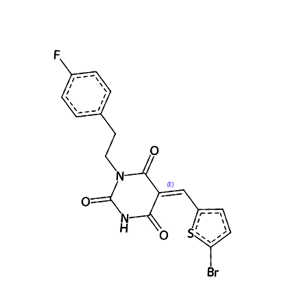 O=C1NC(=O)N(CCc2ccc(F)cc2)C(=O)/C1=C/c1ccc(Br)s1